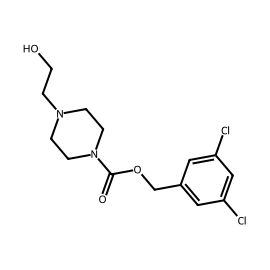 O=C(OCc1cc(Cl)cc(Cl)c1)N1CCN(CCO)CC1